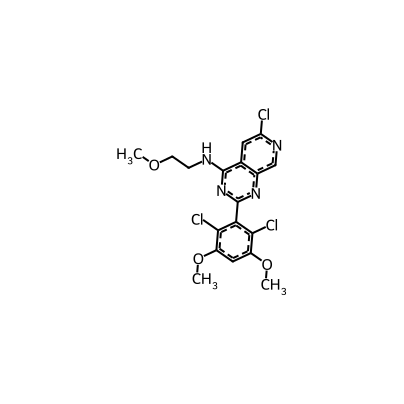 COCCNc1nc(-c2c(Cl)c(OC)cc(OC)c2Cl)nc2cnc(Cl)cc12